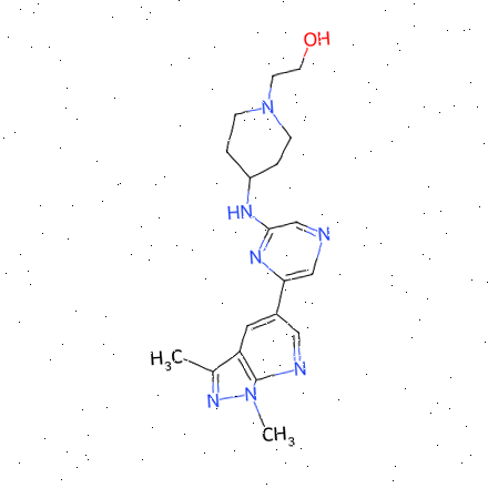 Cc1nn(C)c2ncc(-c3cncc(NC4CCN(CCO)CC4)n3)cc12